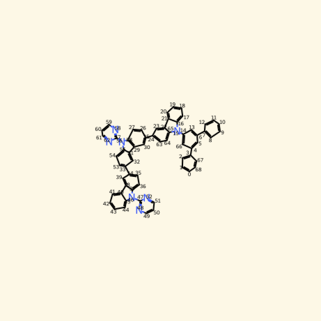 c1ccc(-c2cc(-c3ccccc3)cc(-n3c4ccccc4c4cc(-c5ccc6c(c5)c5cc(-c7ccc8c(c7)c7ccccc7n8-c7ncccn7)ccc5n6-c5ncccn5)ccc43)c2)cc1